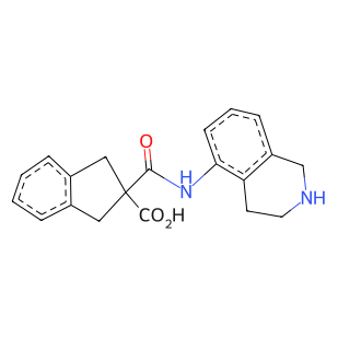 O=C(O)C1(C(=O)Nc2cccc3c2CCNC3)Cc2ccccc2C1